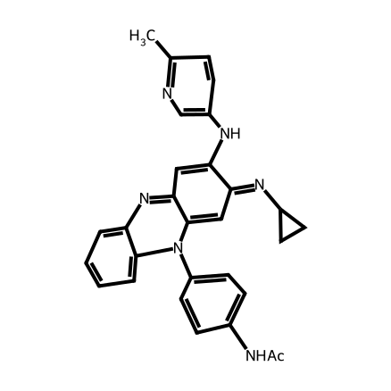 CC(=O)Nc1ccc(-n2c3c/c(=N\C4CC4)c(Nc4ccc(C)nc4)cc-3nc3ccccc32)cc1